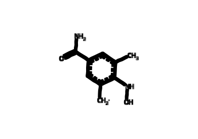 [CH2]c1cc(C(N)=O)cc(C)c1NO